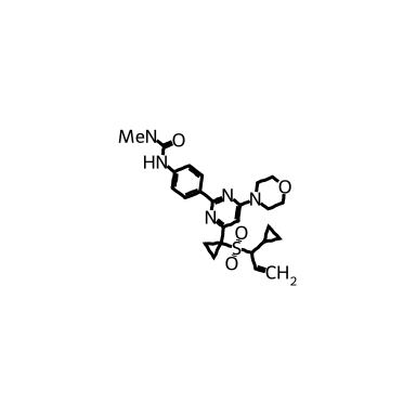 C=CC(C1CC1)S(=O)(=O)C1(c2cc(N3CCOCC3)nc(-c3ccc(NC(=O)NC)cc3)n2)CC1